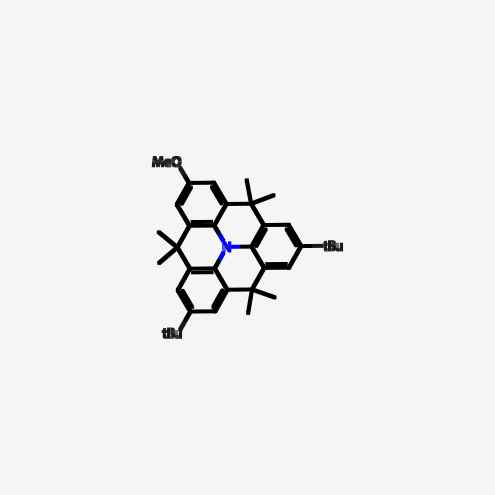 COc1cc2c3c(c1)C(C)(C)c1cc(C(C)(C)C)cc4c1N3c1c(cc(C(C)(C)C)cc1C4(C)C)C2(C)C